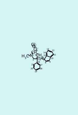 CN(C)C[C](C)([Ti+3][CH]1C=Cc2ccccc21)c1ccccc1.[Cl-].[Cl-].[Cl-]